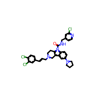 O=C(NCc1ccnc(Cl)c1)n1c2c(c3cc(N4CCCC4)ccc31)CN(C/C=C/c1ccc(Cl)c(Cl)c1)CC2